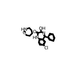 C1CCNOCC1.O=C1Nc2ccc(Cl)cc2C(c2ccccc2)=NC1O